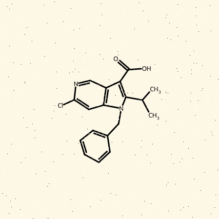 CC(C)c1c(C(=O)O)c2cnc(Cl)cc2n1Cc1ccccc1